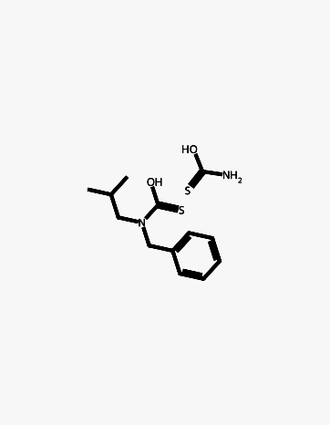 CC(C)CN(Cc1ccccc1)C(O)=S.NC(O)=S